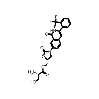 N[C@@H](CO)C(=O)OC[C@H]1CN(c2ccc3cc(-c4ccccc4C(F)(F)F)[nH]c(=O)c3c2)C(=O)O1